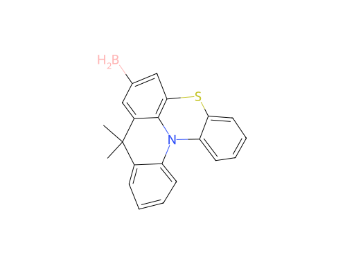 Bc1cc2c3c(c1)C(C)(C)c1ccccc1N3c1ccccc1S2